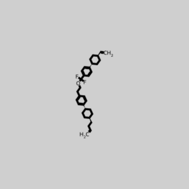 C=CCC[C@H]1CC[C@H](c2ccc(CCOC(F)(F)c3ccc([C@H]4CC[C@H](C=C)CC4)cc3)cc2)CC1